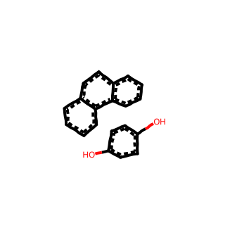 Oc1ccc(O)cc1.c1ccc2c(c1)ccc1ccccc12